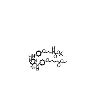 CCOC(=O)CCCCOc1ccc(Nc2nc(Nc3ccc(OCCCNC(=O)OC(C)(C)C)cc3)ncc2N)cc1